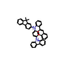 CC1(C)c2ccccc2-c2ccc(N(c3ccc(-n4c5ccccc5c5ccccc54)cc3)c3ccccc3-c3ccc4ccccc4c3)cc21